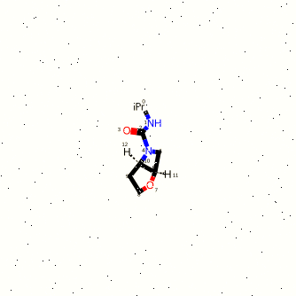 CC(C)NC(=O)N1C[C@H]2OCC[C@H]21